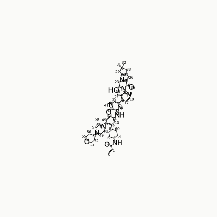 C=CC(=O)NC1CCC(c2cc(Nc3nc(-c4ccnc(N5CCn6c(cc7c6CC(C)(C)C7)C5=O)c4CO)cn(C)c3=O)ccc2N2CCN(C3CCOCC3)C[C@@H]2C)CC1